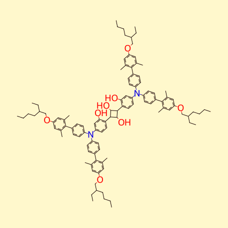 CCCCC(CC)COc1cc(C)c(-c2ccc(N(c3ccc(-c4c(C)cc(OCC(CC)CCCC)cc4C)cc3)c3ccc(C4C(O)C(c5ccc(N(c6ccc(-c7c(C)cc(OCC(CC)CCCC)cc7C)cc6)c6ccc(-c7c(C)cc(OCC(CC)CCCC)cc7C)cc6)cc5O)C4O)c(O)c3)cc2)c(C)c1